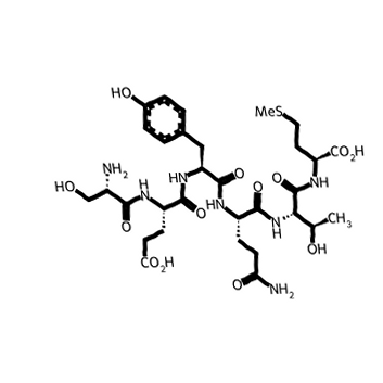 CSCC[C@H](NC(=O)[C@@H](NC(=O)[C@H](CCC(N)=O)NC(=O)[C@H](Cc1ccc(O)cc1)NC(=O)[C@H](CCC(=O)O)NC(=O)[C@@H](N)CO)[C@@H](C)O)C(=O)O